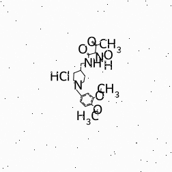 COc1ccc(CN2CCC(CNC(=O)C(=NO)C(C)=O)CC2)cc1OC.Cl